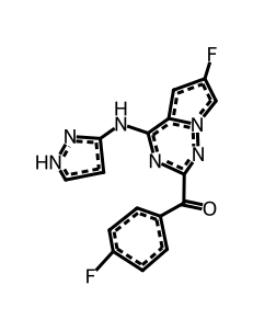 O=C(c1ccc(F)cc1)c1nc(Nc2cc[nH]n2)c2cc(F)cn2n1